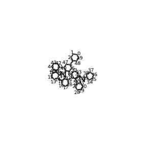 c1ccc(-c2ccc(-n3c4ccccc4c4cccc(-c5cccc6c5c5ccccc5n6-c5ccccc5)c43)c(-c3ccccc3)c2)cc1